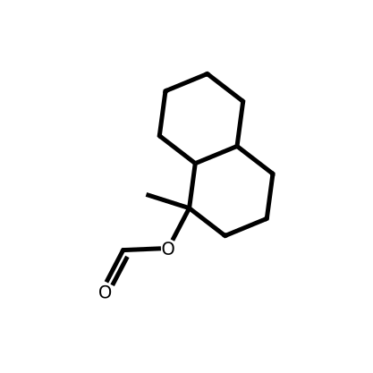 CC1(OC=O)CCCC2CCCCC21